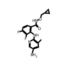 Bc1cnc(Nc2c(C(=O)NOCC3CC3)ccc(F)c2F)c(C)c1